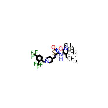 CCC(C)[C@H](NC1=NC(=O)S/C1=C\C1CCN(Cc2ccc(C(F)(F)F)cc2C(F)(F)F)CC1)C(=O)N(C)C